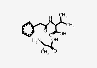 CC(C)[C@H](NC(=O)Cc1ccccc1)C(=O)O.C[C@H](N)C(=O)O